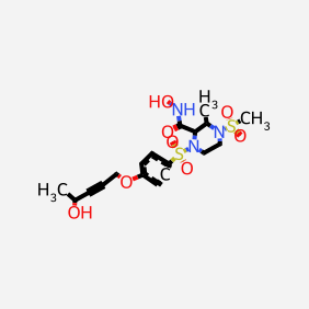 CC(O)C#CCOc1ccc(S(=O)(=O)N2CCN(S(C)(=O)=O)C(C)C2C(=O)NO)cc1